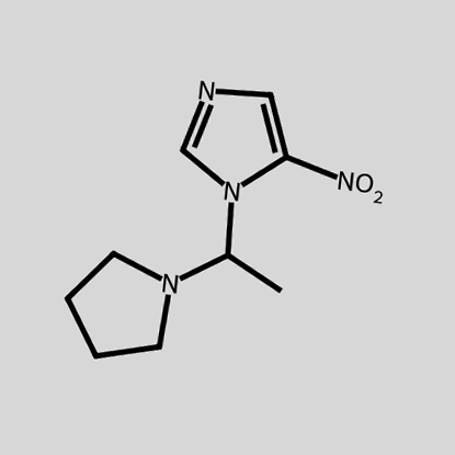 CC(N1CCCC1)n1cncc1[N+](=O)[O-]